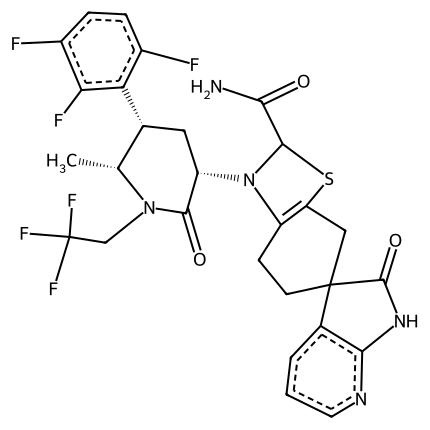 C[C@@H]1[C@H](c2c(F)ccc(F)c2F)C[C@H](N2C3=C(CC4(CC3)C(=O)Nc3ncccc34)SC2C(N)=O)C(=O)N1CC(F)(F)F